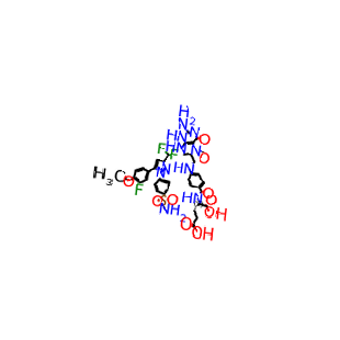 COc1ccc(-c2cc(C(F)F)nn2-c2ccc(S(N)(=O)=O)cc2)cc1F.Nc1nc(=O)c2c([nH]1)NCC(CNc1ccc(C(=O)N[C@@H](CCC(=O)O)C(=O)O)cc1)N2C=O